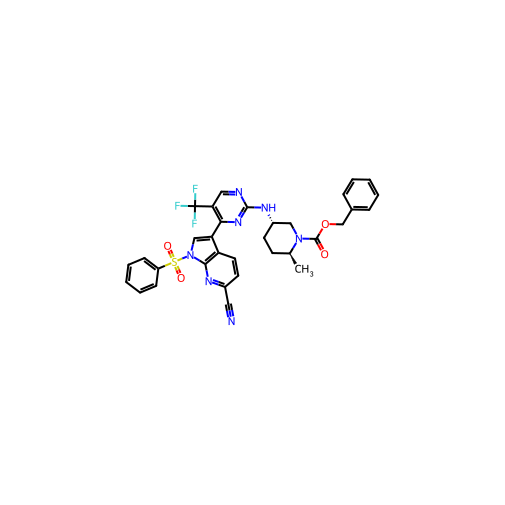 C[C@H]1CC[C@H](Nc2ncc(C(F)(F)F)c(-c3cn(S(=O)(=O)c4ccccc4)c4nc(C#N)ccc34)n2)CN1C(=O)OCc1ccccc1